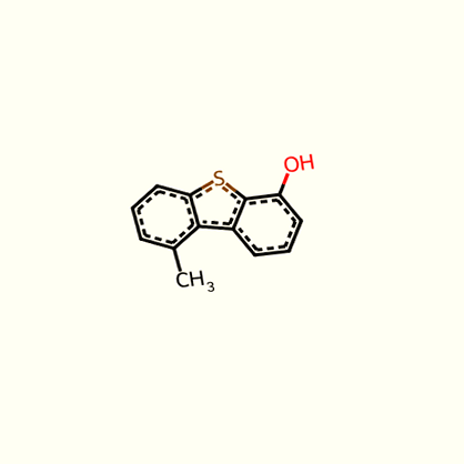 Cc1cccc2sc3c(O)cccc3c12